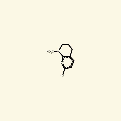 O=C(O)N1CCCc2ccc(Cl)nc21